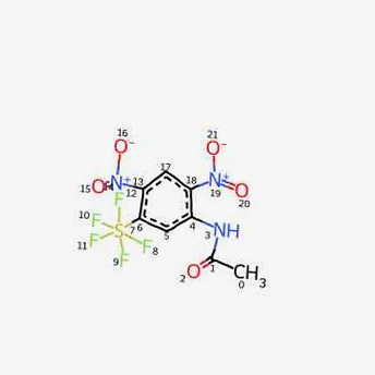 CC(=O)Nc1cc(S(F)(F)(F)(F)F)c([N+](=O)[O-])cc1[N+](=O)[O-]